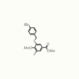 COC(=O)c1cc(F)c(OC)c(SCc2ccc(C(C)(C)C)cc2)c1